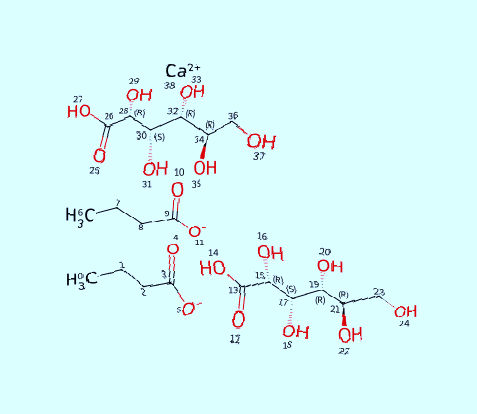 CCCC(=O)[O-].CCCC(=O)[O-].O=C(O)[C@H](O)[C@@H](O)[C@H](O)[C@H](O)CO.O=C(O)[C@H](O)[C@@H](O)[C@H](O)[C@H](O)CO.[Ca+2]